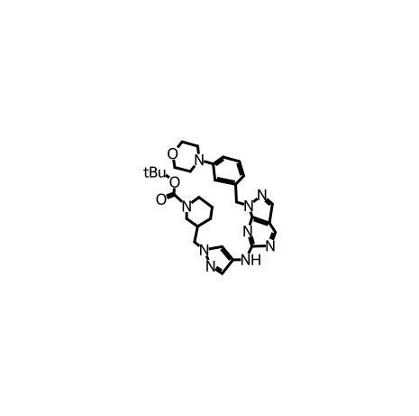 CC(C)(C)OC(=O)N1CCCC(Cn2cc(Nc3ncc4cnn(Cc5cccc(N6CCOCC6)c5)c4n3)cn2)C1